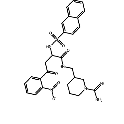 N=C(N)N1CCCC(CNC(=O)C(CC(=O)c2ccccc2[N+](=O)[O-])NS(=O)(=O)c2ccc3ccccc3c2)C1